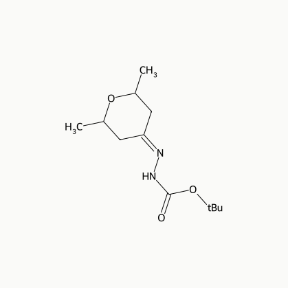 CC1CC(=NNC(=O)OC(C)(C)C)CC(C)O1